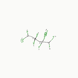 F[C](Cl)C(F)(F)C(F)(Br)[C](F)F